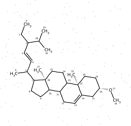 CCC(/C=C/C(C)C1CCC2C3CC=C4C[C@@H](OC)CC[C@]4(C)C3CC[C@]12C)C(C)C